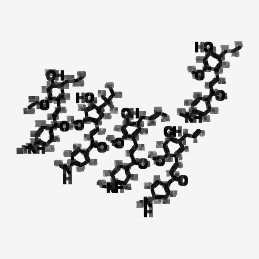 C=CCc1cc(C=CC(=O)c2ccc(NC)cc2)c(OC)cc1O.CC=CCc1cc(C=CC(=O)c2ccc(NC)cc2)c(OC)cc1O.CCC(C)(C)c1cc(C=CC(=O)c2ccc(NC)cc2)c(OC)cc1O.CCCc1cc(C=CC(=O)c2ccc(NC)cc2)c(OC)cc1O.CCCc1cc(C=CC(=O)c2ccc(NC)cc2)c(OCC)cc1O